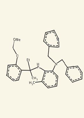 CCC(C)(Pc1c(C)cccc1N(Cc1ccccc1)Cc1ccccc1)c1ccccc1OCOC